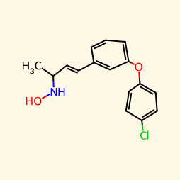 CC(/C=C/c1cccc(Oc2ccc(Cl)cc2)c1)NO